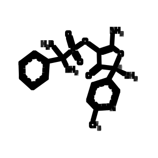 BC(B)(c1ccccc1)S(=O)(=O)OC1=C(N)O[C@](B)(c2ccc(C(F)(F)F)nc2)C1=O